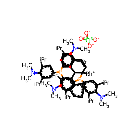 CC(C)c1cc(P(c2cc(C(C)C)c(N(C)C)c(C(C)C)c2)c2ccc3ccccc3c2C2c3ccccc3C=C[C]2([Rh+])P(c2cc(C(C)C)c(N(C)C)c(C(C)C)c2)c2cc(C(C)C)c(N(C)C)c(C(C)C)c2)cc(C(C)C)c1N(C)C.[O-][Cl+3]([O-])([O-])[O-]